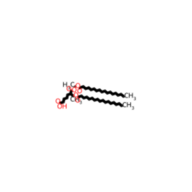 CCCCCCCCCCCCCCCCCC(=O)OC(C)OC(=O)C(CCCCC(=O)O)C(C)OC(=O)CCCCCCCCCCCCCCCCC